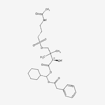 CC(=O)NCCCS(=O)(=O)OCC(C)(C)[C@@H](O)C(=O)OC(OC(=O)Cc1ccccc1)C1CCCCC1